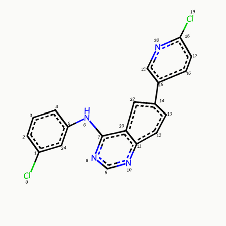 Clc1cccc(Nc2ncnc3ccc(-c4ccc(Cl)nc4)cc23)c1